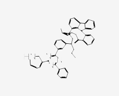 C=C1c2ccccc2[C@@]2(c3ccccc3-c3cccc(C(C)CC(CCC)c4cccc(-c5nc(C6=CC=CCNC6)nc(-c6ccccc6)n5)c4)c32)C1C/C=C\C